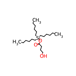 CCCCCC[Si](CCCCCC)(CCCCCC)OC(=O)CCCO